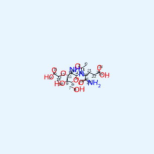 CC(=O)N(C1O[C@H](CO)[C@@H](O)[C@H](O[C@H](C)C(=O)O)[C@H]1N)[C@@H](CCC(=O)O)C(N)=O